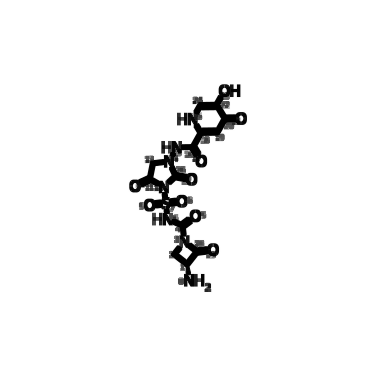 N[C@H]1CN(C(=O)NS(=O)(=O)N2C(=O)CN(NC(=O)c3cc(=O)c(O)c[nH]3)C2=O)C1=O